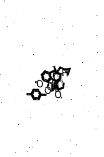 COc1ccc2c3c1O[C@H]1[C@@]4(OC)CC[C@@]5(C[C@@H]4COCc4ccc(C)cc4)[C@@H](C2)C(C)(CC2CC2)CC[C@]315